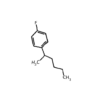 CCCCC(C)c1ccc(F)cc1